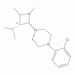 CC(C)[C@@H]1C(C)N(C)C1N1CCN(c2ccccc2Cl)CC1